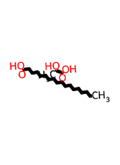 CC(O)C(=O)O.CCCCCCCCCCCCCCCCCC(=O)O